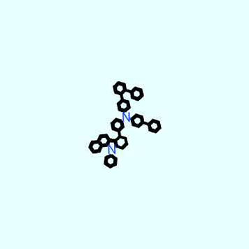 C1=Cc2c(c3ccc4ccccc4c3n2-c2ccccc2)C(c2cccc(N(c3ccc(-c4ccccc4)cc3)c3ccc(-c4ccccc4-c4ccccc4)cc3)c2)C1